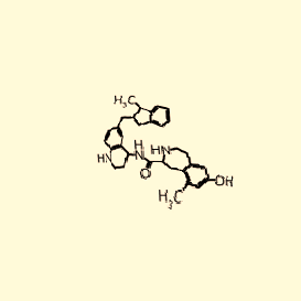 Cc1cc(O)cc2c1CC(C(=O)NC1CCNc3ccc(CC4Cc5ccccc5C4C)cc31)NCC2